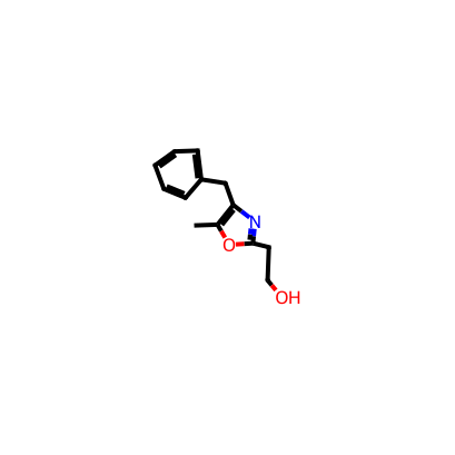 Cc1oc(CCO)nc1Cc1ccccc1